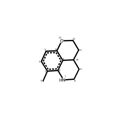 Cc1ccc2c3c1NCCC3CCO2